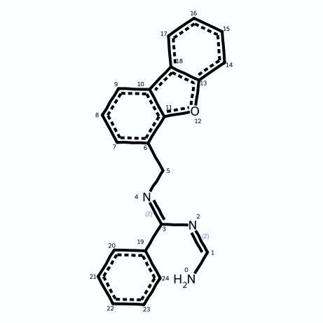 N/C=N\C(=N/Cc1cccc2c1oc1ccccc12)c1ccccc1